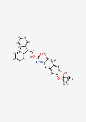 CNC(=O)C(Cc1ccc2c(c1)OC(C)(C)O2)NC(=O)OCC1c2ccccc2-c2ccccc21